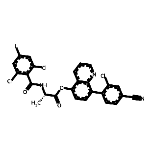 C[C@H](NC(=O)c1c(Cl)cc(I)cc1Cl)C(=O)Oc1ccc(-c2ccc(C#N)cc2Cl)c2ncccc12